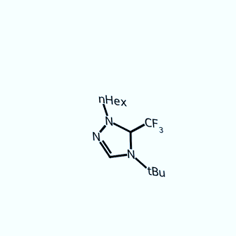 CCCCCCN1N=CN(C(C)(C)C)C1C(F)(F)F